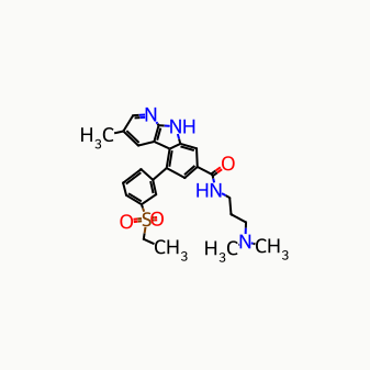 CCS(=O)(=O)c1cccc(-c2cc(C(=O)NCCCN(C)C)cc3[nH]c4ncc(C)cc4c23)c1